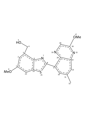 COc1cc(CO)c2nc(-c3cc(C)cc4nc(OC)cnc34)sc2c1